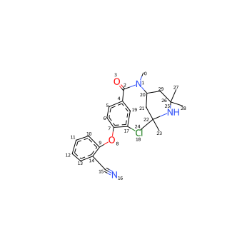 CN(C(=O)c1ccc(Oc2ccccc2C#N)c(Cl)c1)C1CC(C)(C)NC(C)(C)C1